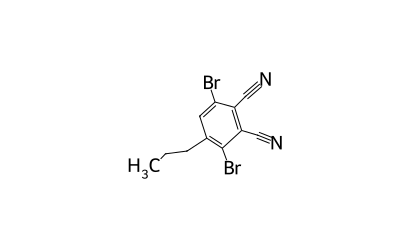 CCCc1cc(Br)c(C#N)c(C#N)c1Br